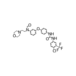 O=CN(CCN1CCOCC1)c1cccc(Oc2ccc(NC(=O)Nc3ccc(Cl)c(C(F)(F)F)c3)cc2)c1